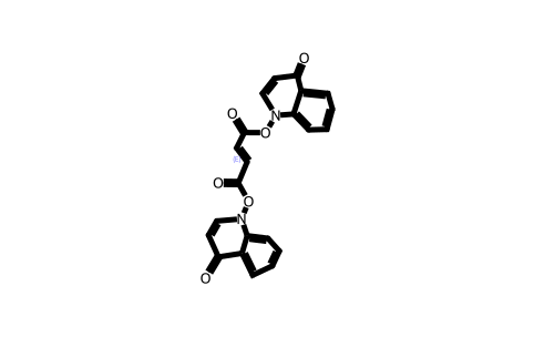 O=C(/C=C/C(=O)On1ccc(=O)c2ccccc21)On1ccc(=O)c2ccccc21